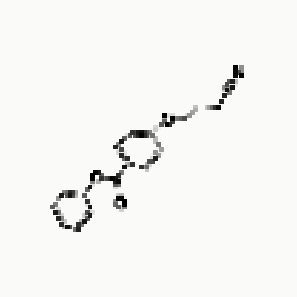 N#CCCCOc1ccc(C(=O)Oc2ccccc2)cc1